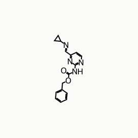 O=C(Nc1nccc(C=NC2CC2)n1)OCc1ccccc1